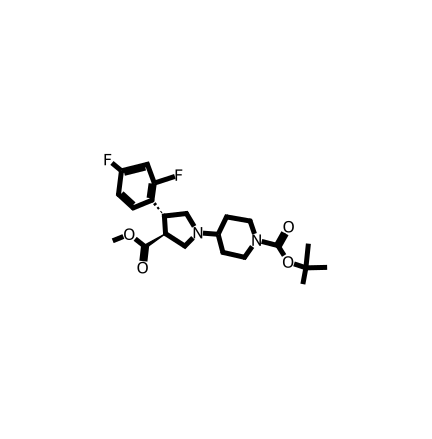 COC(=O)[C@@H]1CN(C2CCN(C(=O)OC(C)(C)C)CC2)C[C@H]1c1ccc(F)cc1F